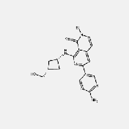 CCn1ccc2cc(-c3cnc(N)nc3)nc(N[C@H]3C[C@@H](CO)C3)c2c1=O